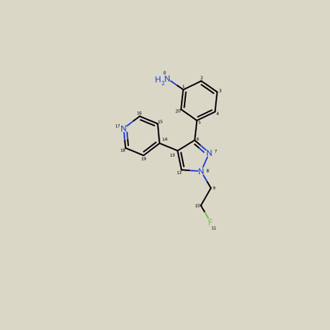 Nc1cccc(-c2nn(CCF)cc2-c2ccncc2)c1